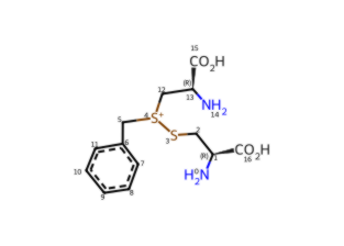 N[C@@H](CS[S+](Cc1ccccc1)C[C@H](N)C(=O)O)C(=O)O